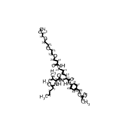 CCCCC(=O)N[C@H](C(=O)N[C@@H](CCCCNC(=O)CCOCCOCCOCCOC)C(=O)Nc1ccc(COC(C)=O)cc1)C(C)C